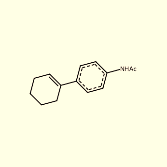 CC(=O)Nc1ccc(C2=CCCCC2)cc1